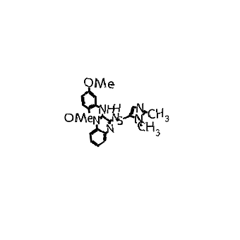 COc1ccc(OC)c(Nc2nc3ccccc3nc2NSc2cnc(C)n2C)c1